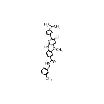 COc1cc(C(=O)NCc2cccc(C)c2)ccc1Nc1ncc(Cl)c(-c2ccn(C(C)C)n2)n1